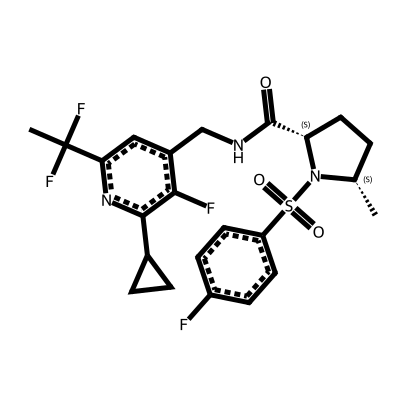 C[C@H]1CC[C@@H](C(=O)NCc2cc(C(C)(F)F)nc(C3CC3)c2F)N1S(=O)(=O)c1ccc(F)cc1